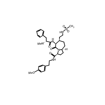 CN[C@H](Cc1ccccc1)C(=O)N[C@@H]1C(=O)N2[C@@H](CC[C@@H]1CCNS(C)(=O)=O)CC[C@H]2C(=O)NCCc1ccc(OC)cc1